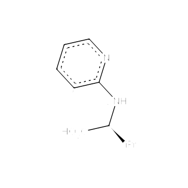 CC(C)[C@H](Nc1ccccn1)C(=O)O